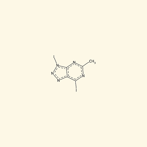 Cc1nc(I)c2nnn(I)c2n1